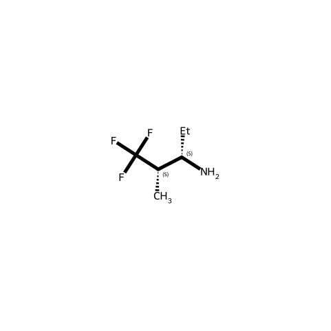 CC[C@H](N)[C@H](C)C(F)(F)F